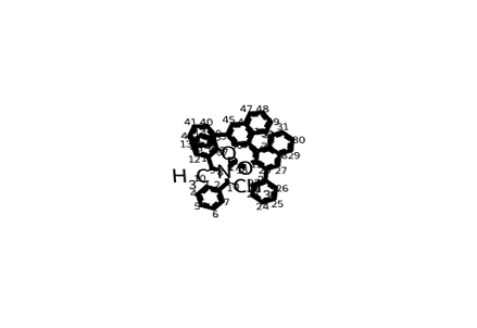 C[C@H](c1ccccc1)N([C@H](C)c1ccccc1)p1oc2c(-c3ccccc3)cc3ccccc3c2c2c(o1)c(-c1ccccc1)cc1ccccc12